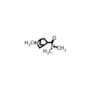 CN(C)C(=O)C1CC2CC1CN2C